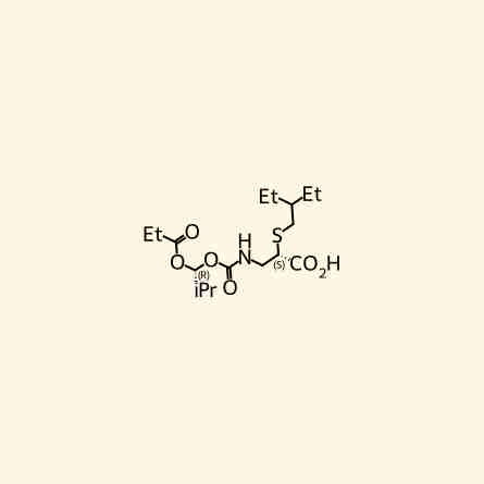 CCC(=O)O[C@H](OC(=O)NC[C@H](SCC(CC)CC)C(=O)O)C(C)C